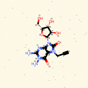 C#CCn1c(=O)n([C@@H]2O[C@H](CO)[C@H](O)[C@H]2O)c2nc(N)n(N)c(=O)c21